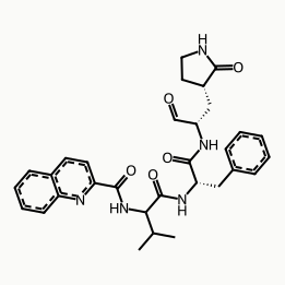 CC(C)C(NC(=O)c1ccc2ccccc2n1)C(=O)N[C@@H](Cc1ccccc1)C(=O)N[C@H](C=O)C[C@@H]1CCNC1=O